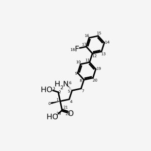 C[C@@](CO)(C[C@H](N)Cc1ccc(-c2ccccc2F)cc1)C(=O)O